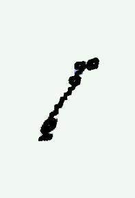 C=C(C)c1ccc(CCCCCCCCCCc2ccc(/C=C/C(=O)c3ccccc3)cc2)cc1